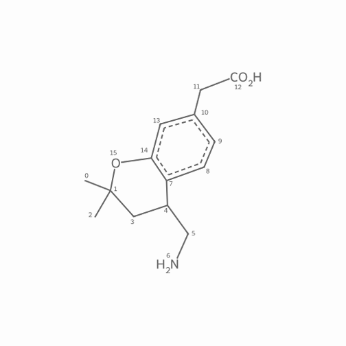 CC1(C)CC(CN)c2ccc(CC(=O)O)cc2O1